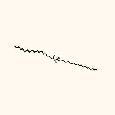 CCCCCCCCCCCCCCCCCCC(O)NC(O)CCCCCCCCCCCCCCCCCC